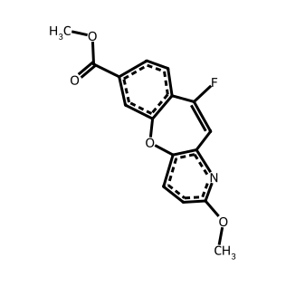 COC(=O)c1ccc2c(c1)Oc1ccc(OC)nc1C=C2F